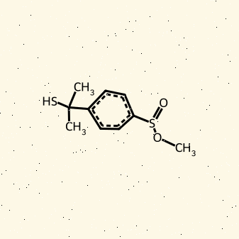 COS(=O)c1ccc(C(C)(C)S)cc1